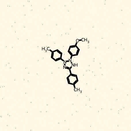 COc1ccc(N2NC(c3ccc(C)cc3)=NN2c2ccc(C)cc2)cc1